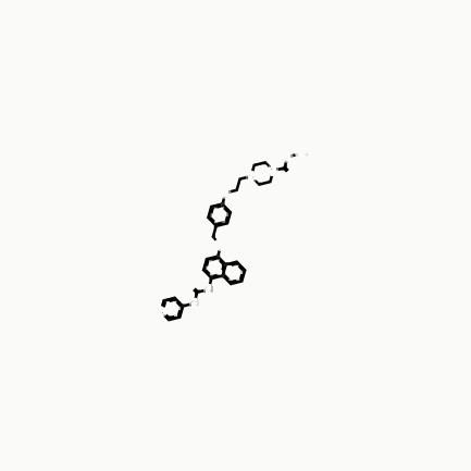 CC(C)(C)OC(=O)N1CCN(CCOc2ccc(COc3ccc(NC(=O)Nc4ccncc4)c4ccccc34)cc2)CC1